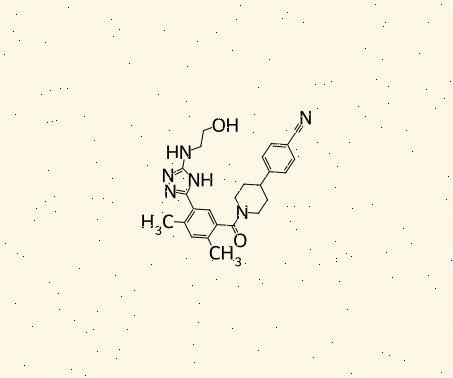 Cc1cc(C)c(-c2nnc(NCCO)[nH]2)cc1C(=O)N1CCC(c2ccc(C#N)cc2)CC1